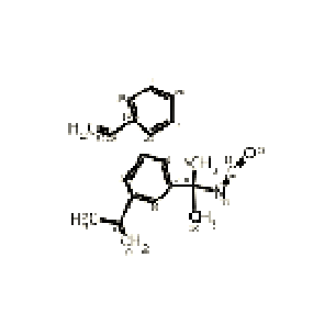 C=C(C)c1cccc(C(C)(C)N=C=O)c1.C=Cc1ccccc1